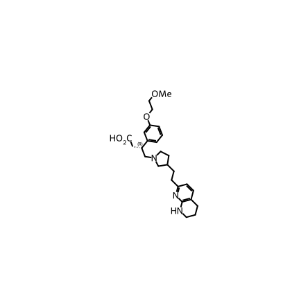 COCCOc1cccc([C@@H](CC(=O)O)CN2CCC(CCc3ccc4c(n3)NCCC4)C2)c1